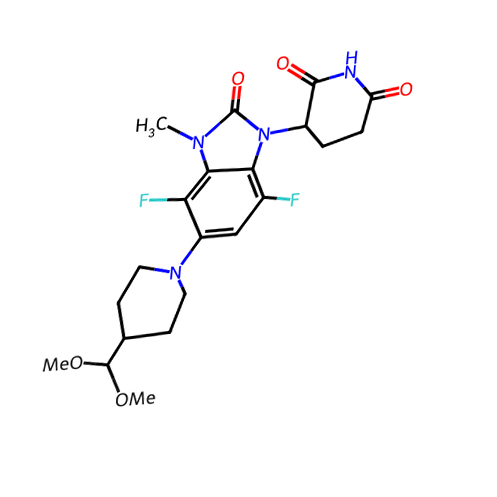 COC(OC)C1CCN(c2cc(F)c3c(c2F)n(C)c(=O)n3C2CCC(=O)NC2=O)CC1